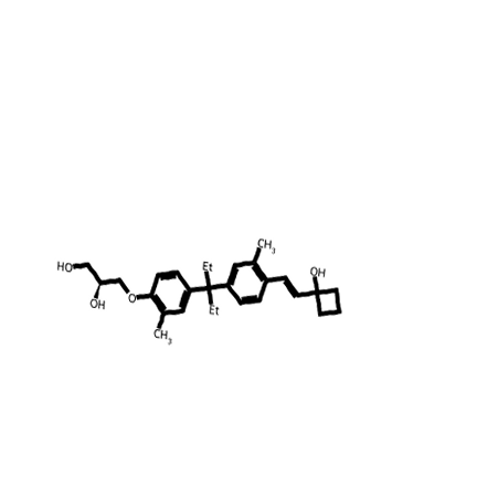 CCC(CC)(c1ccc(C=CC2(O)CCC2)c(C)c1)c1ccc(OC[C@@H](O)CO)c(C)c1